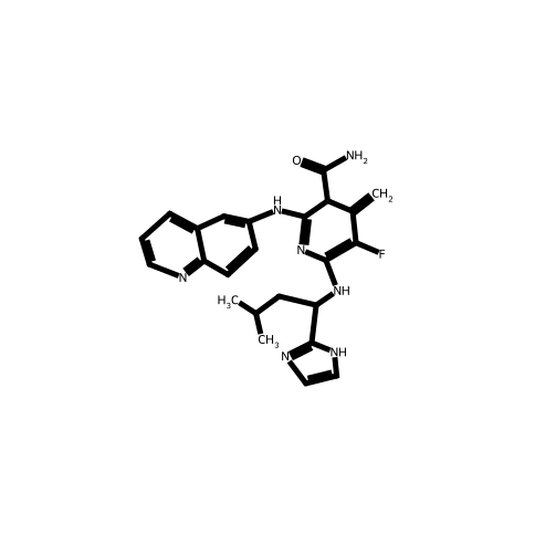 C=C1C(F)=C(NC(CC(C)C)c2ncc[nH]2)N=C(Nc2ccc3ncccc3c2)C1C(N)=O